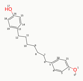 COc1ccc(CCCCCCCc2ccc(O)cc2)cc1